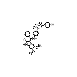 CCOc1cc2c(cc1OCC)C(=C(Nc1ccc(N(CC(=O)N3CCNCC3)S(C)(=O)=O)cc1)c1ccccc1)C(=O)N2